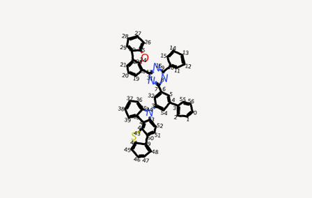 c1ccc(-c2cc(-c3nc(-c4ccccc4)nc(-c4cccc5c4oc4ccccc45)n3)cc(-n3c4ccccc4c4c5sc6ccccc6c5ccc43)c2)cc1